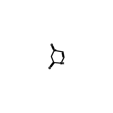 O=C1C[N+](=O)C=CN1